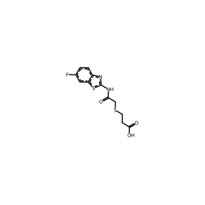 O=C(O)CCSCC(=O)Nc1nc2ccc(F)cc2s1